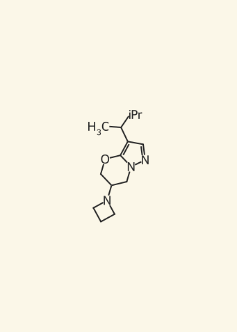 CC(C)C(C)c1cnn2c1OCC(N1CCC1)C2